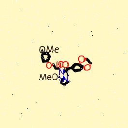 COC[C@H]1CCCN1C[C@@H](NC(=O)CCOc1ccc(OC)cc1)[C@@H](O)c1ccc2c(c1)OCCO2